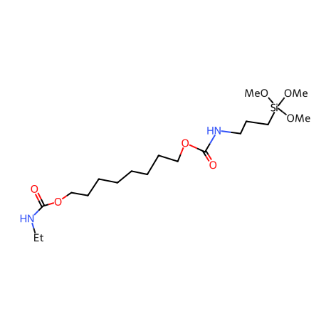 [CH2]CNC(=O)OCCCCCCCCOC(=O)NCCC[Si](OC)(OC)OC